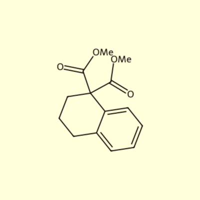 COC(=O)C1(C(=O)OC)CCCc2ccccc21